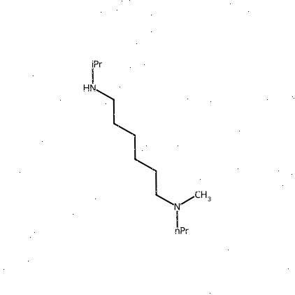 CCCN(C)CCCCCCNC(C)C